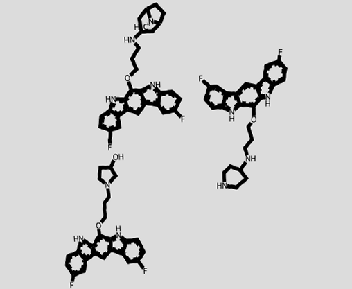 CN1C2CCC1CC(NCCCOc1c3[nH]c4ccc(F)cc4c3cc3c1[nH]c1ccc(F)cc13)C2.Fc1ccc2[nH]c3c(OCCCNC4CCNCC4)c4[nH]c5ccc(F)cc5c4cc3c2c1.OC1CCN(CCCOc2c3[nH]c4ccc(F)cc4c3cc3c2[nH]c2ccc(F)cc23)C1